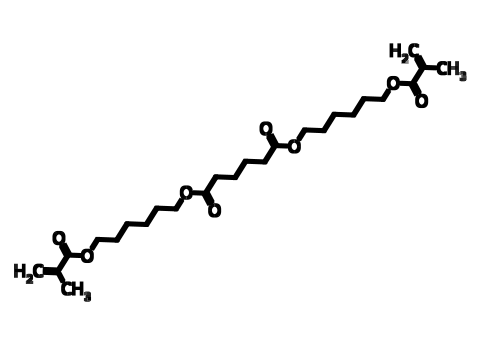 C=C(C)C(=O)OCCCCCCOC(=O)CCCCC(=O)OCCCCCCOC(=O)C(=C)C